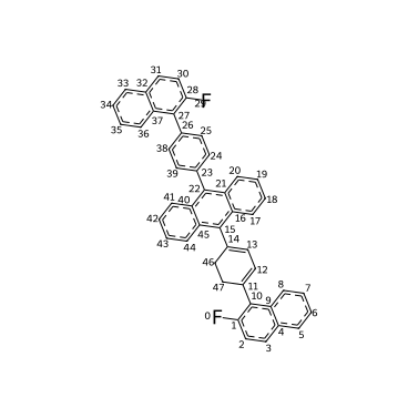 Fc1ccc2ccccc2c1C1=CC=C(c2c3ccccc3c(-c3ccc(-c4c(F)ccc5ccccc45)cc3)c3ccccc23)CC1